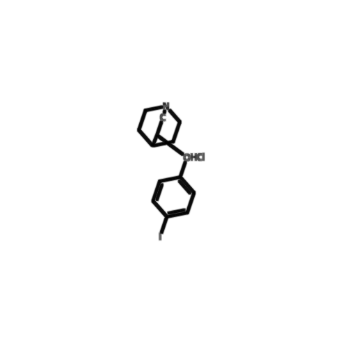 Cl.Ic1ccc(OC2CN3CCC2CC3)cc1